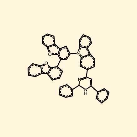 C1=C(c2ccccc2)NC(c2ccccc2)N=C1c1ccc2c3ccccc3n(-c3cc(-c4cccc5c4oc4ccccc45)c4oc5ccccc5c4c3)c2c1